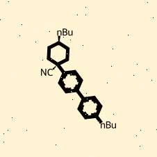 CCCCc1ccc(-c2ccc([C@]3(C#N)CC[C@H](CCCC)CC3)cc2)cc1